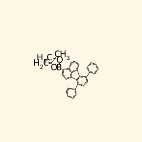 C=C1OB(c2ccc3c4c(cccc24)-c2c(-c4ccccc4)ccc(-c4ccccc4)c2-3)OC1(C)C